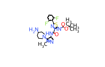 Cn1ncc(NC(=O)c2nc(-c3c(F)cccc3F)sc2NC(=O)OC(C)(C)C)c1N1CCCC(N)CC1